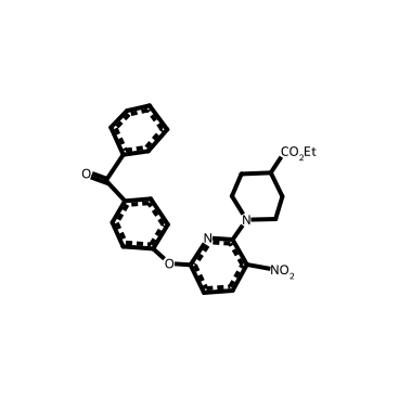 CCOC(=O)C1CCN(c2nc(Oc3ccc(C(=O)c4ccccc4)cc3)ccc2[N+](=O)[O-])CC1